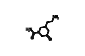 NCCC1CC(=O)CN(C(N)=O)C1